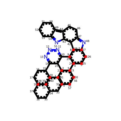 c1ccc(-c2ccc3c(c2-c2nnnc(-c4ccccc4)c2-c2c(-c4ccccc4)ccc4cc5ccccc5cc24)-c2c4c(ccc2=N3)=c2ccccc2=N4)cc1